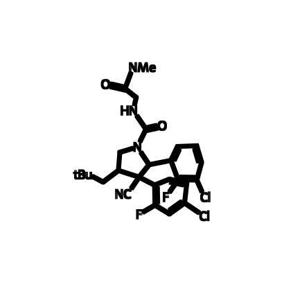 CNC(=O)CNC(=O)N1CC(CC(C)(C)C)C(C#N)(c2ccc(Cl)cc2F)C1c1cccc(Cl)c1F